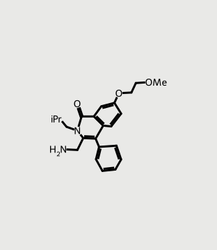 COCCOc1ccc2c(-c3ccccc3)c(CN)n(CC(C)C)c(=O)c2c1